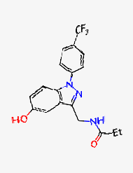 CCC(=O)NCc1nn(-c2ccc(C(F)(F)F)cc2)c2ccc(O)cc12